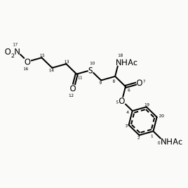 CC(=O)Nc1ccc(OC(=O)C(CSC(=O)CCCO[N+](=O)[O-])NC(C)=O)cc1